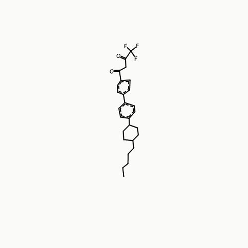 CCCCCC1CCC(c2ccc(-c3ccc(C(=O)CC(=O)C(F)(F)F)cc3)cc2)CC1